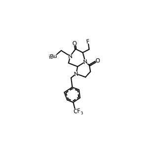 CCC(C)CN1CC2N(Cc3ccc(C(F)(F)F)cc3)CCC(=O)N2C(CF)C1=O